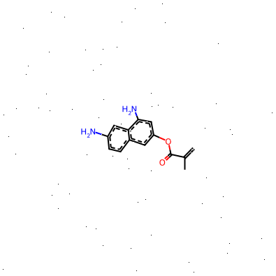 C=C(C)C(=O)Oc1cc(N)c2cc(N)ccc2c1